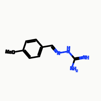 COc1ccc(C=NNC(=N)N)cc1